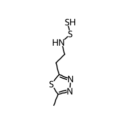 Cc1nnc(CCNSS)s1